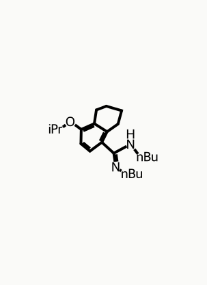 CCCCN=C(NCCCC)c1ccc(OC(C)C)c2c1CCCC2